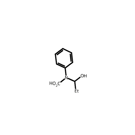 CCC(O)N(C(=O)O)c1ccccc1